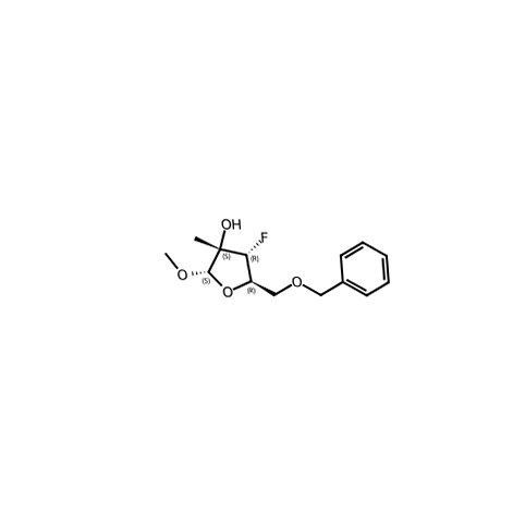 CO[C@H]1O[C@H](COCc2ccccc2)[C@@H](F)[C@@]1(C)O